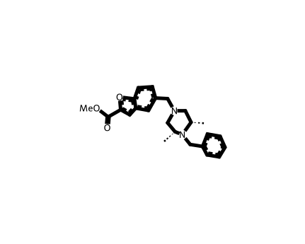 COC(=O)c1cc2cc(CN3C[C@@H](C)N(Cc4ccccc4)[C@@H](C)C3)ccc2o1